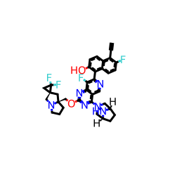 C#Cc1c(F)ccc2c(-c3ncc4c(N5C[C@H]6CC[C@@H](C5)N6)nc(OC[C@@]56CCCN5C[C@]5(CC5(F)F)C6)nc4c3F)c(O)ccc12